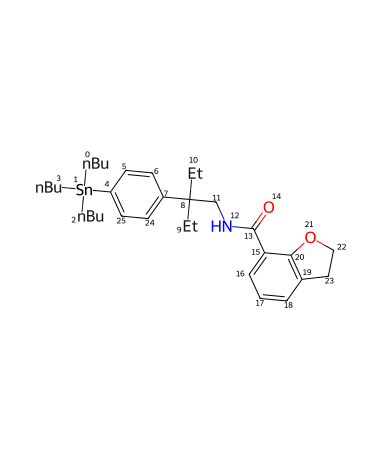 CCC[CH2][Sn]([CH2]CCC)([CH2]CCC)[c]1ccc(C(CC)(CC)CNC(=O)c2cccc3c2OCC3)cc1